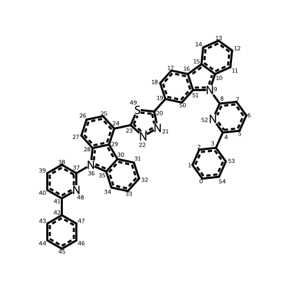 c1ccc(-c2cccc(-n3c4ccccc4c4ccc(-c5nnc(-c6cccc7c6c6ccccc6n7-c6cccc(-c7ccccc7)n6)s5)cc43)n2)cc1